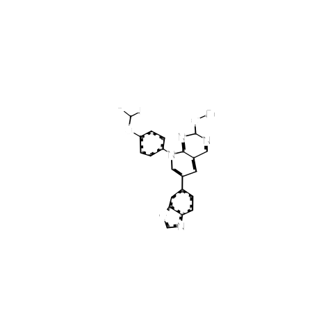 CCOC1N=CC2=CC(c3ccc4ncoc4c3)=CN(c3ccc(OC(F)F)cc3)C2=N1